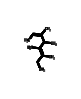 CC=C(C)C(C)C(C)=C(C)CC